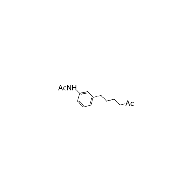 CC(=O)CCCCc1cccc(NC(C)=O)c1